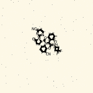 N#Cc1cccc(N(C(=O)[C@@H]2CCC(=O)N2c2nccc(C#N)n2)C(C(=O)NC2CC(F)(F)C2)c2ccccc2Cl)c1